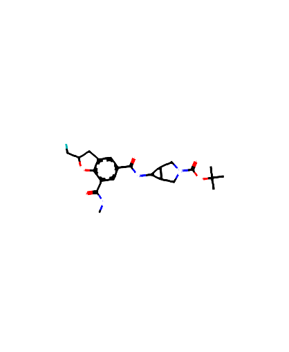 CNC(=O)c1cc(C(=O)NC2C3CN(C(=O)OC(C)(C)C)CC32)cc2c1OC(CF)C2